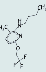 CCCCNc1nc(OCC(F)(F)F)ccc1C